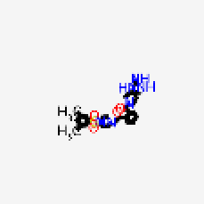 Cc1cc(C)cc(S(=O)(=O)N2CCN(CC(=O)c3ccccc3C(=O)N3CCC4(CC3)CNC(=N)N4)CC2)c1